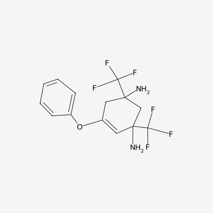 NC1(C(F)(F)F)C=C(Oc2ccccc2)CC(N)(C(F)(F)F)C1